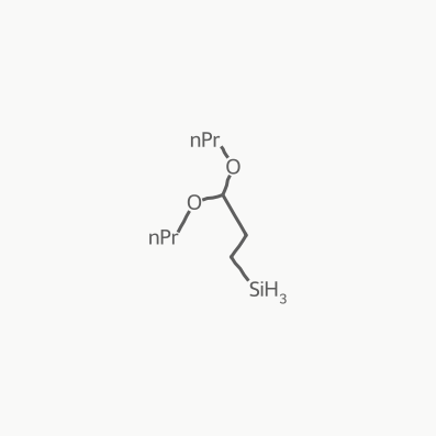 CCCOC(CC[SiH3])OCCC